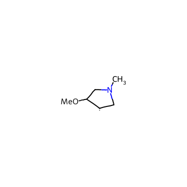 COC1[CH]CN(C)C1